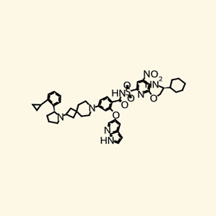 O=C(NS(=O)(=O)c1cc([N+](=O)[O-])c2c(n1)OC[C@H](C1CCCCC1)N2)c1ccc(N2CCC3(CC2)CC(N2CCC[C@H]2c2ccccc2C2CC2)C3)cc1Oc1cnc2[nH]ccc2c1